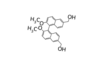 COc1ccc2cc(CO)ccc2c1-c1c(OC)ccc2cc(CO)ccc12